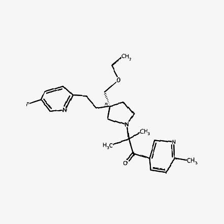 CCOC[C@]1(CCc2ccc(F)cn2)CCN(C(C)(C)C(=O)c2ccc(C)nc2)C1